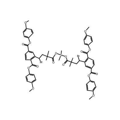 COc1ccc(OC(=O)c2ccc(C(=O)Oc3ccc(OC)cc3)c(C(Br)CC(C)(C)C(=O)O[Si](C)(C)OC(=O)C(C)(C)CC(Br)c3cc(C(=O)Oc4ccc(OC)cc4)ccc3C(=O)Oc3ccc(OC)cc3)c2)cc1